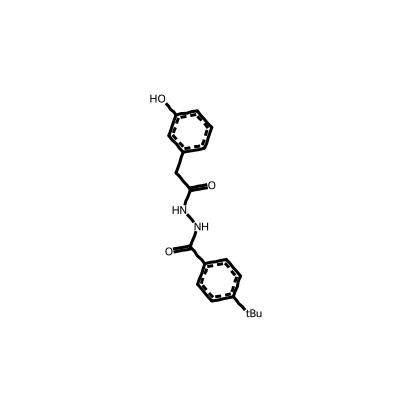 CC(C)(C)c1ccc(C(=O)NNC(=O)Cc2cccc(O)c2)cc1